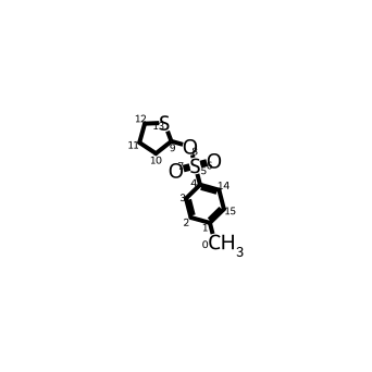 Cc1ccc(S(=O)(=O)OC2CCCS2)cc1